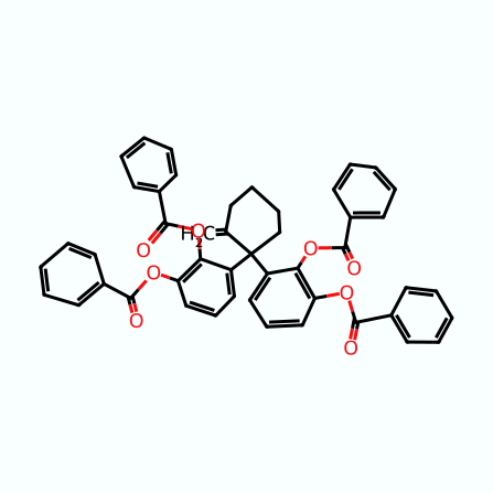 C=C1CCCCC1(c1cccc(OC(=O)c2ccccc2)c1OC(=O)c1ccccc1)c1cccc(OC(=O)c2ccccc2)c1OC(=O)c1ccccc1